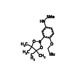 CSNc1ccc(OCC(C)(C)C)c(B2OC(C)(C)C(C)(C)O2)c1